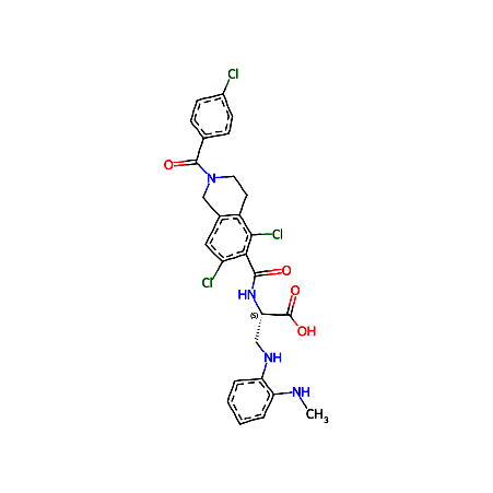 CNc1ccccc1NC[C@H](NC(=O)c1c(Cl)cc2c(c1Cl)CCN(C(=O)c1ccc(Cl)cc1)C2)C(=O)O